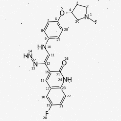 CN1CC[C@@H](Oc2ccc(N/C=C(\N=N)c3cc4cc(F)ccc4[nH]c3=O)cc2)C1